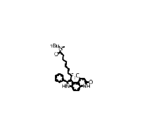 CCCCN(C)C(=O)CCCCCCCc1c(-c2ccccc2)[nH]c2ccc3[nH]c(=O)cc(C(F)(F)F)c3c12